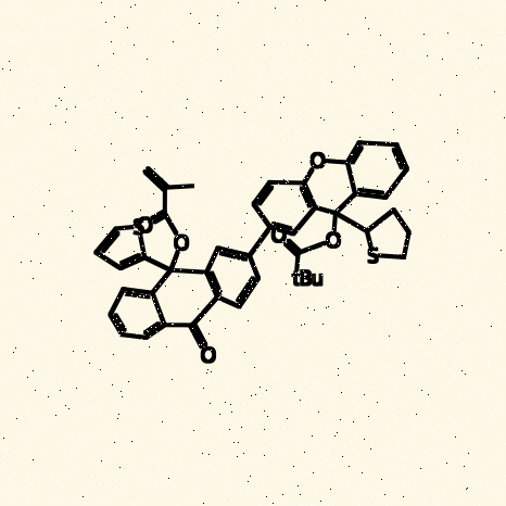 C=C(C)C(=O)OC1(c2cccs2)c2ccccc2C(=O)c2ccc(-c3ccc4c(c3)C(OC(=O)C(C)(C)C)(C3CCCS3)c3ccccc3O4)cc21